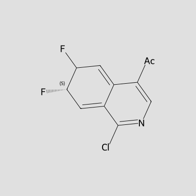 CC(=O)c1cnc(Cl)c2c1=CC(F)[C@@H](F)C=2